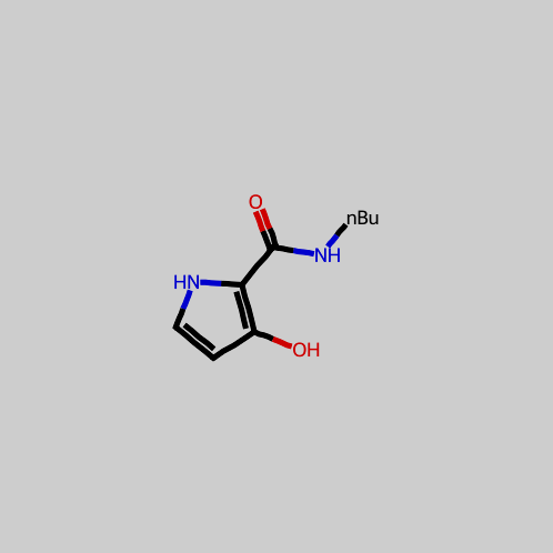 CCCCNC(=O)c1[nH]ccc1O